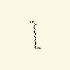 O=CCCCCCCCCCCC=O